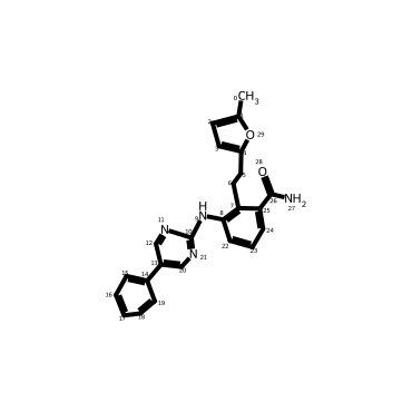 Cc1ccc(CCc2c(Nc3ncc(-c4ccccc4)cn3)cccc2C(N)=O)o1